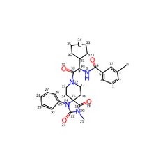 Cc1cccc(C(=O)N[C@@H](C(=O)N2CCC3(CC2)C(=O)N(C)C(=O)N3c2ccccc2)C2CCCCC2)c1